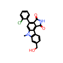 Cn1c2cc(CO)ccc2c2c3c(c(-c4ccccc4Cl)cc21)C(=O)NC3=O